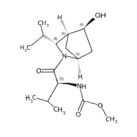 COC(=O)N[C@H](C(=O)N1[C@H]2C[C@@H]([C@H]1C(C)C)[C@@H](O)C2)C(C)C